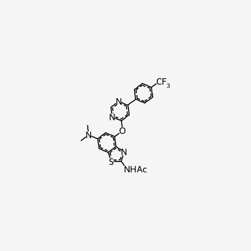 CC(=O)Nc1nc2c(Oc3cc(-c4ccc(C(F)(F)F)cc4)ncn3)cc(N(C)C)cc2s1